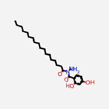 CCCCCCCCCCCCCCCCCC(=O)N(N)C(=O)c1ccc(O)cc1O